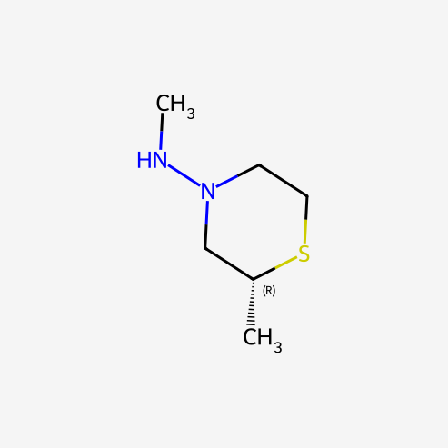 CNN1CCS[C@H](C)C1